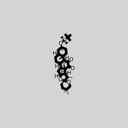 C[C@@H]1CC[C@@]2(OC1)O[C@H]1C[C@H]3[C@@H]4CC[C@H]5C[C@@H](O[Si](C)(C)C(C)(C)C)CC[C@]5(C)[C@H]4C(=O)C(=O)[C@]3(C)[C@H]1[C@@H]2C